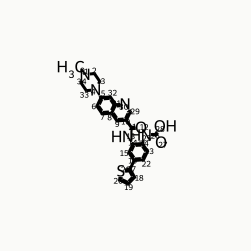 CN1CCN(c2ccc3cc(C(=O)Nc4cc(-c5cccs5)ccc4NC(=O)O)cnc3c2)CC1